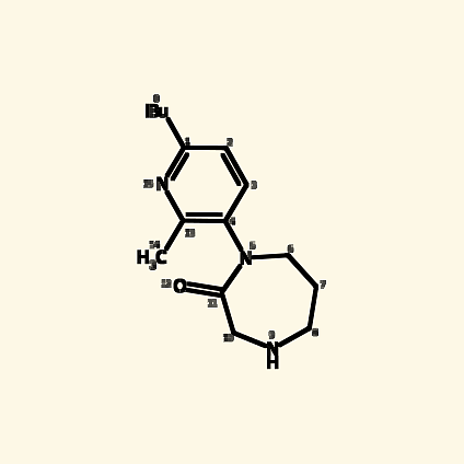 CCC(C)c1ccc(N2CCCNCC2=O)c(C)n1